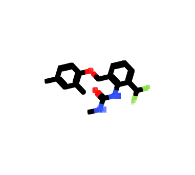 CNC(=O)Nc1c(COc2ccc(C)cc2C)cccc1C(F)F